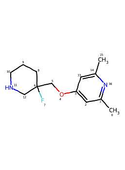 Cc1cc(OCC2(F)CCCNC2)cc(C)n1